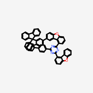 c1ccc(-c2ccc(-c3nc(-c4cccc5oc6ccccc6c45)nc(-c4cccc5oc6ccc(-c7ccc8c(c7)C7(c9ccccc9-c9ccccc97)c7ccccc7-8)cc6c45)n3)cc2)cc1